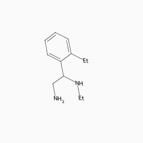 CCNC(CN)c1ccccc1CC